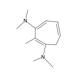 CC1=C(N(C)C)CC=CC=C1N(C)C